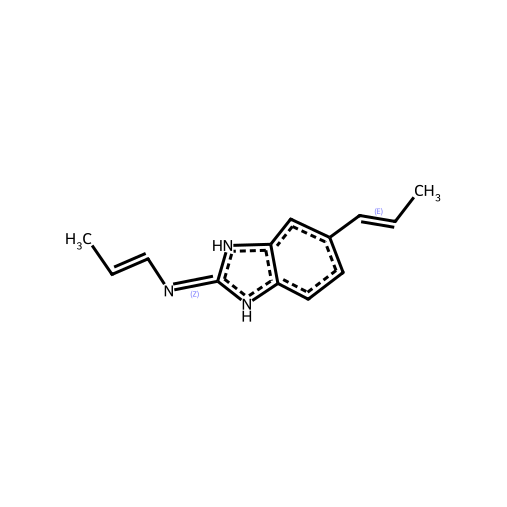 CC=C/N=c1/[nH]c2ccc(/C=C/C)cc2[nH]1